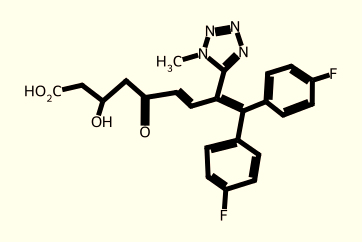 Cn1nnnc1C(C=CC(=O)CC(O)CC(=O)O)=C(c1ccc(F)cc1)c1ccc(F)cc1